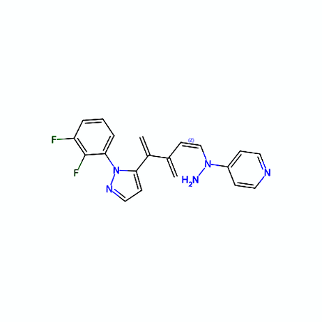 C=C(/C=C\N(N)c1ccncc1)C(=C)c1ccnn1-c1cccc(F)c1F